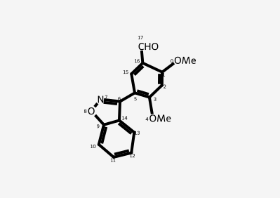 COc1cc(OC)c(-c2noc3ccccc23)cc1C=O